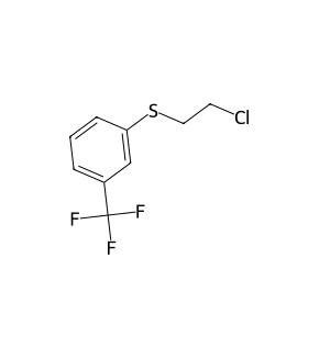 FC(F)(F)c1cccc(SCCCl)c1